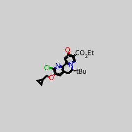 CCOC(=O)c1cn2c(cc1=O)-c1nc(Cl)c(OCC3CC3)cc1C[C@@H]2C(C)(C)C